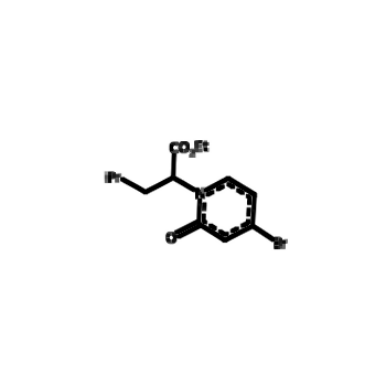 CCOC(=O)C(CC(C)C)n1ccc(Br)cc1=O